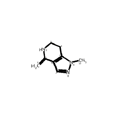 C=C1NCCc2c1cnn2C